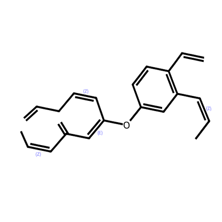 C=CC/C=C\C(=C/C(=C)/C=C\C)Oc1ccc(C=C)c(/C=C\C)c1